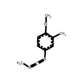 CN=C=Nc1cc[c]([Pr][CH3])c(C)c1